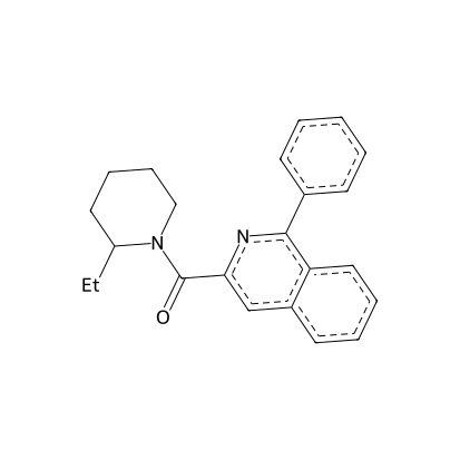 CCC1CCCCN1C(=O)c1cc2ccccc2c(-c2ccccc2)n1